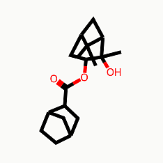 CC1(C)C2CC(OC(=O)C3CC4CCC3C4)C(C)(O)C1C2